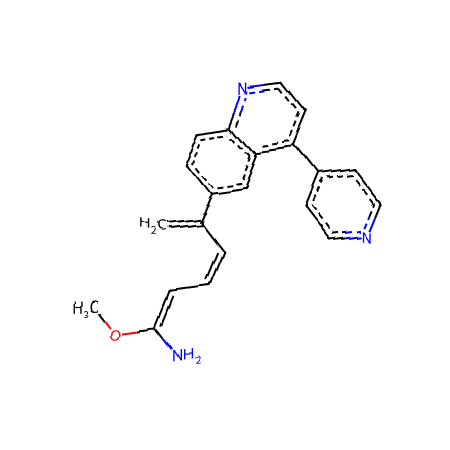 C=C(/C=C\C=C(/N)OC)c1ccc2nccc(-c3ccncc3)c2c1